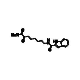 CNC(=O)C(=O)CCCCCCNC(=O)c1cc2ccccc2[nH]1